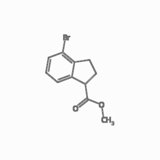 COC(=O)C1CCc2c(Br)cccc21